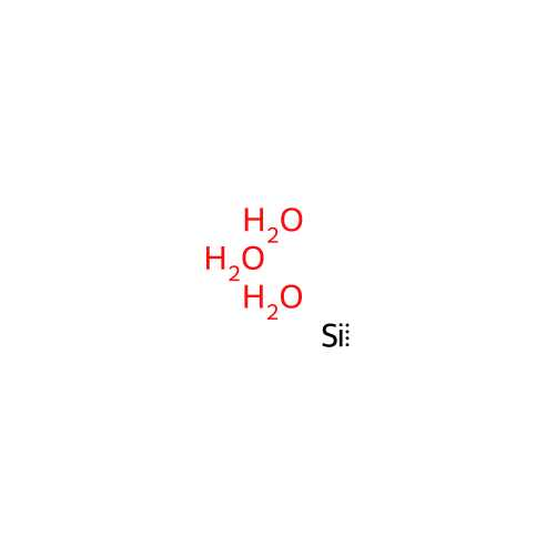 O.O.O.[Si]